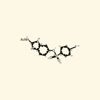 CC(=O)Nc1nc2ccc(OS(=O)(=O)c3ccc(F)cc3)cc2s1